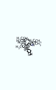 CC(C)CN([C@H](CO[Si](C)(C)C(C)(C)C)c1ccc(/C=N\[S+]([O-])C(C)(C)C)s1)S(=O)(=O)c1ccc2ncsc2c1